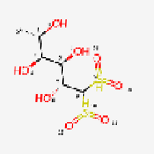 C[C@H](O)[C@H](O)[C@@H](O)[C@@H](O)C([SH](=O)=O)[SH](=O)=O